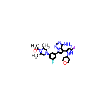 CC(=O)N1C(C)CN(c2cc(F)cc(-c3cc(-c4cc(I)nn4C4CCOCC4)c4c(N)ncnn34)c2)CC1C